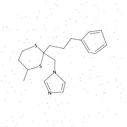 CC1CCSC(CCCc2ccccc2)(Cn2ccnc2)S1